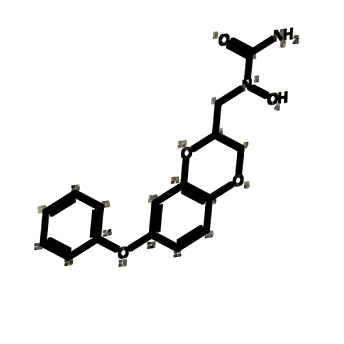 NC(=O)N(O)CC1COc2ccc(Oc3ccccc3)cc2O1